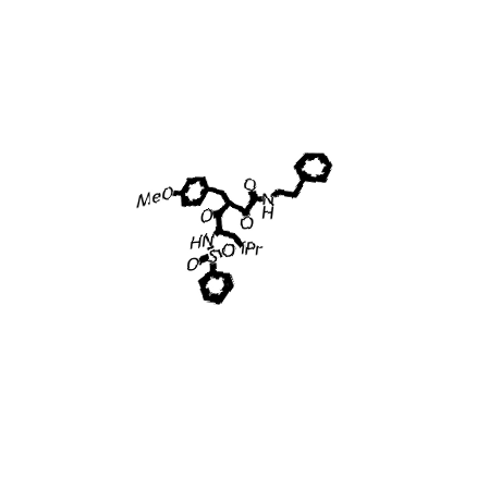 COc1ccc(CC(C(=O)C(=O)NCCc2ccccc2)C(=O)C(CC(C)C)NS(=O)(=O)c2ccccc2)cc1